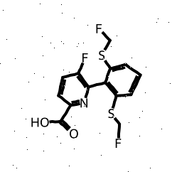 O=C(O)c1ccc(F)c(-c2c(SCF)cccc2SCF)n1